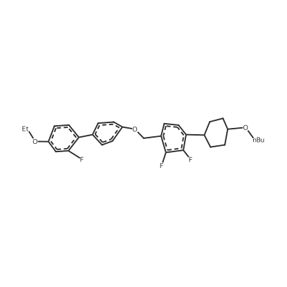 CCCCOC1CCC(c2ccc(COc3ccc(-c4ccc(OCC)cc4F)cc3)c(F)c2F)CC1